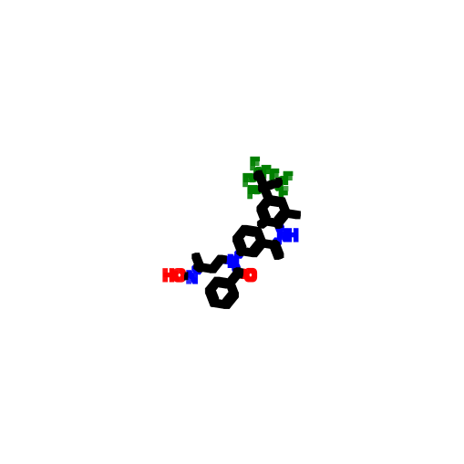 C=C(Nc1c(C)cc(C(F)(C(F)(F)F)C(F)(F)F)cc1C)c1cccc(N(CC/C(C)=N/O)C(=O)c2ccccc2)c1